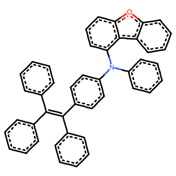 c1ccc(C(=C(c2ccccc2)c2ccc(N(c3ccccc3)c3cccc4oc5ccccc5c34)cc2)c2ccccc2)cc1